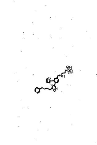 O=P(O)(O)CCCNCc1ccc(-c2noc(CCCCc3ccccc3)n2)c(-c2ccco2)c1